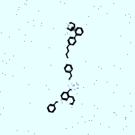 CC(C)(C)[Si](C)(C)O[C@@H](CNCCc1ccc(OCCCCc2ccc(-c3ccccc3)c(N(C(=O)O)[C@H]3CN4CCC3CC4)c2)cc1)c1ccc(OCc2ccccc2)c2[nH]c(=O)ccc12